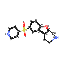 O=S(=O)(c1ccncc1)c1ccc2oc3c(c2c1)CCNC3